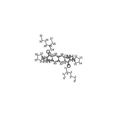 CCCCC(CC)COc1c(N2CCCC2)[nH]c2cc3cc4c(OCC(CC)CCCC)c(N5CCCC5)[nH]c4cc3cc12